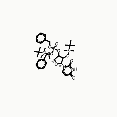 CC(C)(C)[Si](C)(C)OC[C@H]1O[C@@H](n2ccc(=O)[nH]c2=O)C(O[Si](C)(C)C(C)(C)C)C1OP(=O)(OCc1ccccc1)OCc1ccccc1